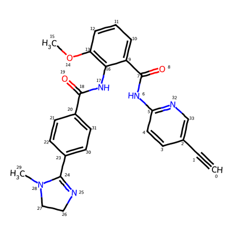 C#Cc1ccc(NC(=O)c2cccc(OC)c2NC(=O)c2ccc(C3=NCCN3C)cc2)nc1